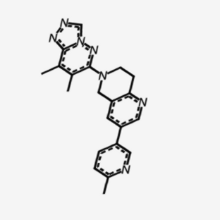 Cc1ccc(-c2cnc3c(c2)CN(c2nn4cnnc4c(C)c2C)CC3)cn1